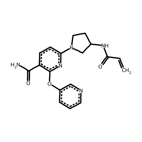 C=CC(=O)NC1CCN(c2ccc(C(N)=O)c(Oc3cccnc3)n2)C1